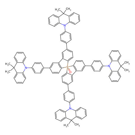 CC1(C)c2ccccc2N(c2ccc(-c3ccc4c(c3)-c3cc(-c5ccc(N6c7ccccc7C(C)(C)c7ccccc76)cc5)ccc3S43(=O)c4ccc(-c5ccc(N6c7ccccc7C(C)(C)c7ccccc76)cc5)cc4-c4cc(-c5ccc(N6c7ccccc7C(C)(C)c7ccccc76)cc5)ccc43)cc2)c2ccccc21